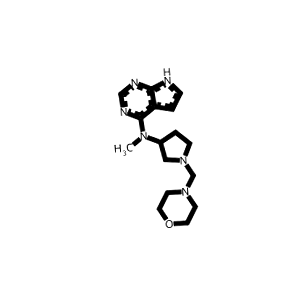 CN(c1ncnc2[nH]ccc12)C1CCN(CN2CCOCC2)C1